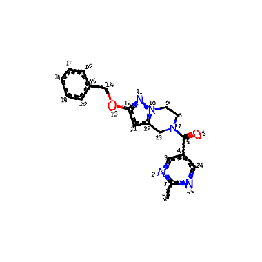 Cc1ncc(C(=O)N2CCn3nc(OCc4ccccc4)cc3C2)cn1